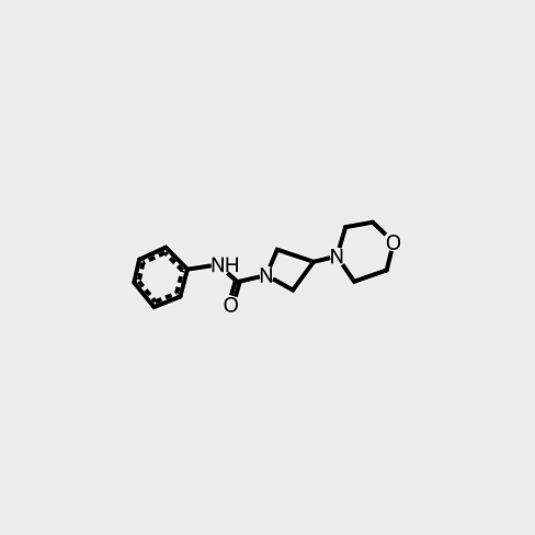 O=C(Nc1ccccc1)N1CC(N2CCOCC2)C1